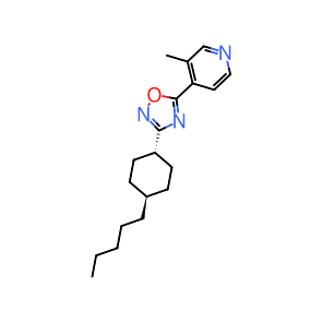 CCCCC[C@H]1CC[C@H](c2noc(-c3ccncc3C)n2)CC1